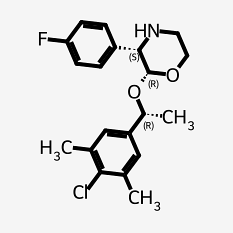 Cc1cc([C@@H](C)O[C@H]2OCCN[C@H]2c2ccc(F)cc2)cc(C)c1Cl